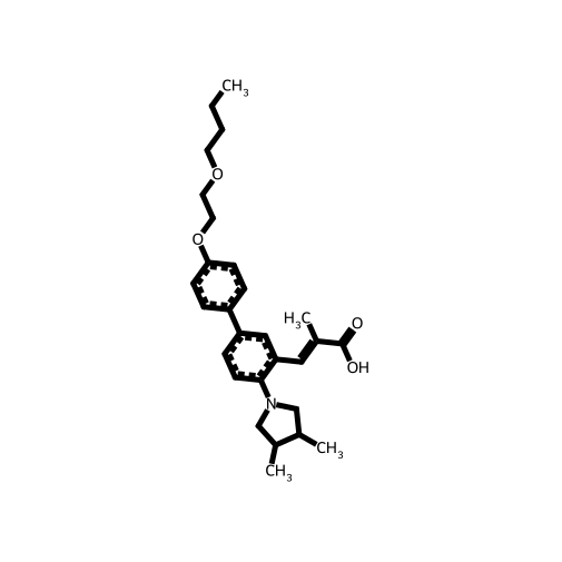 CCCCOCCOc1ccc(-c2ccc(N3CC(C)C(C)C3)c(/C=C(\C)C(=O)O)c2)cc1